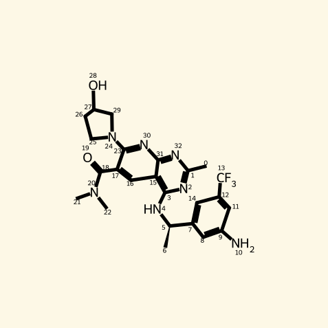 Cc1nc(N[C@H](C)c2cc(N)cc(C(F)(F)F)c2)c2cc(C(=O)N(C)C)c(N3CCC(O)C3)nc2n1